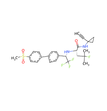 C#CC1(NC(=O)[C@H](CC(C)(C)F)N[C@@H](c2ccc(-c3ccc(S(C)(=O)=O)cc3)cc2)C(F)(F)F)CC1